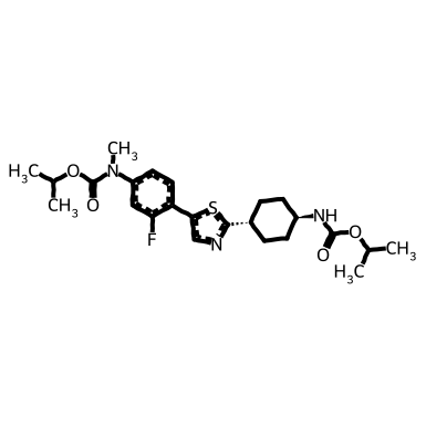 CC(C)OC(=O)N[C@H]1CC[C@H](c2ncc(-c3ccc(N(C)C(=O)OC(C)C)cc3F)s2)CC1